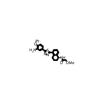 COCC(=O)N[C@H]1CCCc2c(-c3nnc(-c4ccc(OC(C)C)c(N)c4)s3)cccc21